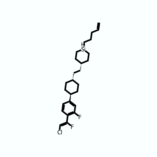 C=CCCC[Si@H]1CC[C@H](CC[C@H]2CC[C@H](c3ccc(C(F)=CCl)c(F)c3)CC2)CC1